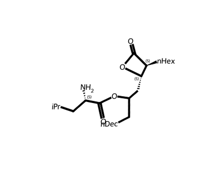 CCCCCCCCCCCC(C[C@@H]1OC(=O)[C@H]1CCCCCC)OC(=O)[C@@H](N)CC(C)C